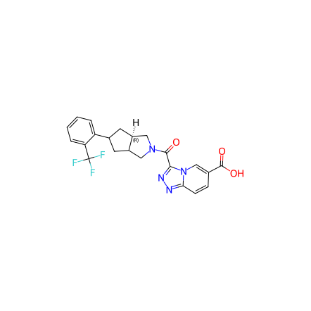 O=C(O)c1ccc2nnc(C(=O)N3CC4CC(c5ccccc5C(F)(F)F)C[C@H]4C3)n2c1